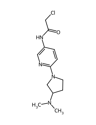 CN(C)C1CCN(c2ccc(NC(=O)CCl)cn2)C1